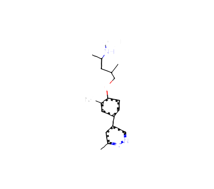 Cc1cc(-c2ccc(OCC(C)CC(C)NC(=O)O)c(C#N)c2)cnn1